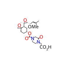 CO[C@@H]1[C@H](OC(=O)N2CCN(CC(=O)O)C(=O)C2)CC[C@]2(CO2)[C@H]1[C@@]1(C)O[C@@H]1CC=C(C)C